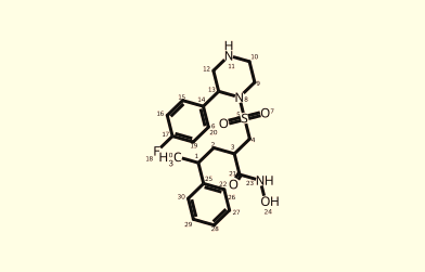 CC(CC(CS(=O)(=O)N1CCNCC1c1ccc(F)cc1)C(=O)NO)c1ccccc1